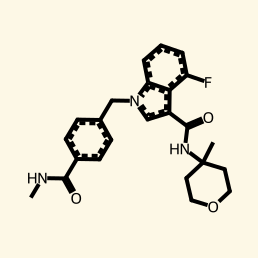 CNC(=O)c1ccc(Cn2cc(C(=O)NC3(C)CCOCC3)c3c(F)cccc32)cc1